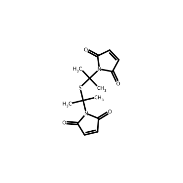 CC(C)(SC(C)(C)N1C(=O)C=CC1=O)N1C(=O)C=CC1=O